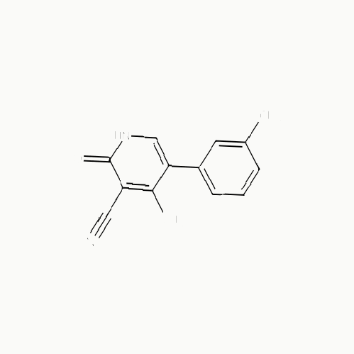 Cc1cccc(-c2c[nH]c(=O)c(C#N)c2C)c1